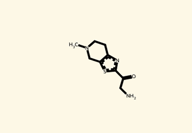 CN1CCc2nc(C(=O)CN)sc2C1